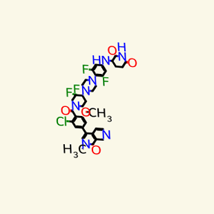 COc1cc(-c2cn(C)c(=O)c3cnccc23)cc(Cl)c1C(=O)N1CCC(N2CCN(c3c(F)cc(NC4CCC(=O)NC4=O)cc3F)CC2)C(F)(F)C1